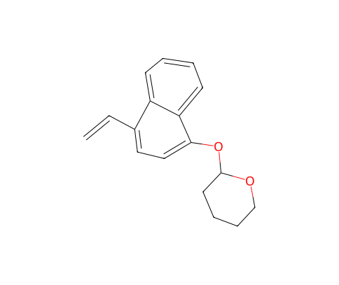 C=Cc1ccc(OC2CCCCO2)c2ccccc12